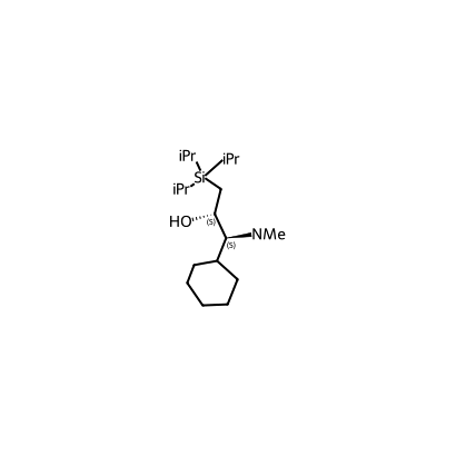 CN[C@@H](C1CCCCC1)[C@H](O)C[Si](C(C)C)(C(C)C)C(C)C